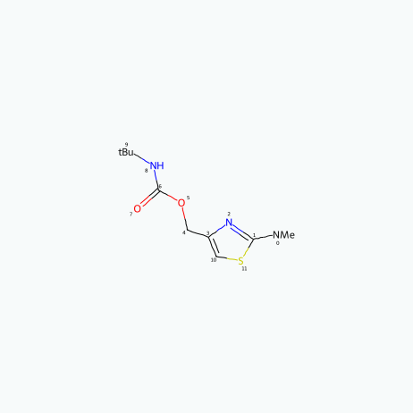 CNc1nc(COC(=O)NC(C)(C)C)cs1